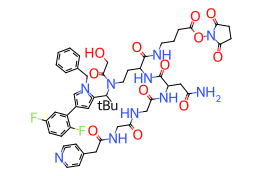 CC(C)(C)C(c1cc(-c2cc(F)ccc2F)cn1Cc1ccccc1)N(CCC(NC(=O)C(CC(N)=O)NC(=O)CNC(=O)CNC(=O)Cc1ccncc1)C(=O)NCCCC(=O)ON1C(=O)CCC1=O)C(=O)CO